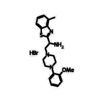 Br.COc1ccccc1N1CCN(CC(N)c2nc3c(C)cccc3s2)CC1